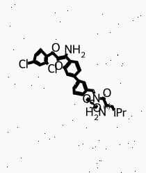 CC(C)C[C@@H](N)C(=O)N(Cc1cccc(-c2ccc3c(N)c(C(=O)c4ccc(Cl)cc4Cl)oc3c2)c1)S(C)(=O)=O